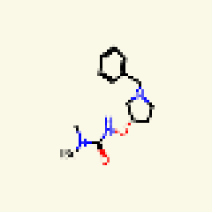 CN(C(=O)NO[C@@H]1CCN(Cc2ccccc2)C1)C(C)(C)C